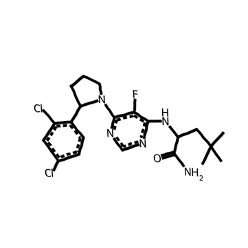 CC(C)(C)CC(Nc1ncnc(N2CCCC2c2ccc(Cl)cc2Cl)c1F)C(N)=O